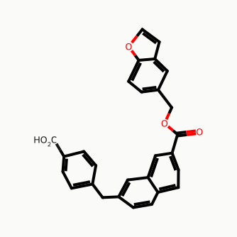 O=C(O)c1ccc(Cc2ccc3ccc(C(=O)OCc4ccc5occc5c4)cc3c2)cc1